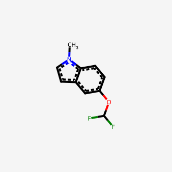 Cn1ccc2cc(OC(F)F)ccc21